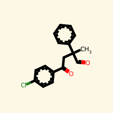 CC(C=O)(CC(=O)c1ccc(Cl)cc1)c1ccccc1